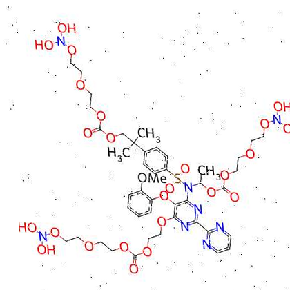 COc1ccccc1Oc1c(OCCOC(=O)OCCOCCON(O)O)nc(-c2ncccn2)nc1N(C(C)OC(=O)OCCOCCON(O)O)S(=O)(=O)c1ccc(C(C)(C)COC(=O)OCCOCCON(O)O)cc1